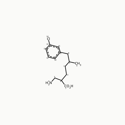 CC(CCC(CN)C(=O)O)Cc1cccc(Cl)c1